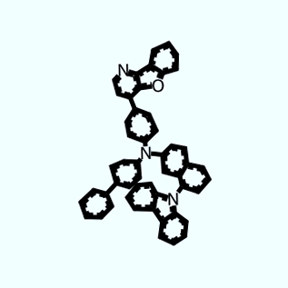 c1ccc(-c2ccc(N(c3ccc(-c4ccnc5c4oc4ccccc45)cc3)c3ccc4cccc(-n5c6ccccc6c6ccccc65)c4c3)cc2)cc1